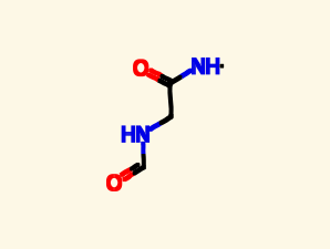 [NH]C(=O)CNC=O